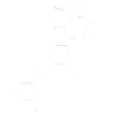 CCC(C(=O)O)n1ccc2ncnc(Nc3ccc(OCc4cccc(F)c4)c(Cl)c3)c21